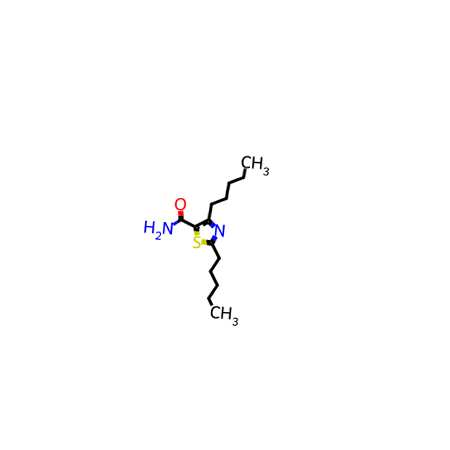 CCCCCc1nc(CCCCC)c(C(N)=O)s1